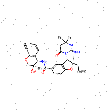 C#CC1=C(/C=C\C)[C@@H](NC(=O)c2ccc3c(c2)[C@H](N2C(=N)NC(CC)(CC)CC2=O)[C@@](C)(COC)O3)[C@](O)(CC)CO1